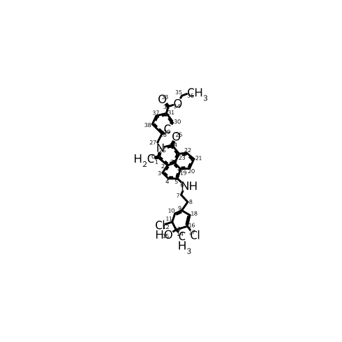 C=c1c2ccc(NCCC3=CC(Cl)C(C)(O)C(Cl)=C3)c3cccc(c(=O)n1Cc1ccc(C(=O)OCC)cc1)c32